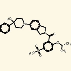 C[C@H](Oc1ccc(S(C)(=O)=O)cc1C(=O)N1Cc2ccc(N3CCC(O)(c4ccccc4)CC3)cc2C1)C(F)(F)F